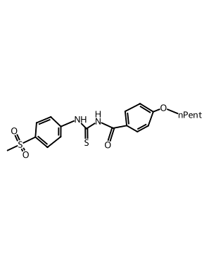 CCCCCOc1ccc(C(=O)NC(=S)Nc2ccc(S(C)(=O)=O)cc2)cc1